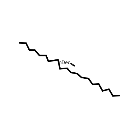 CCCCCCCCCCC.CCCCCCCCCCCCCCCCCCCC